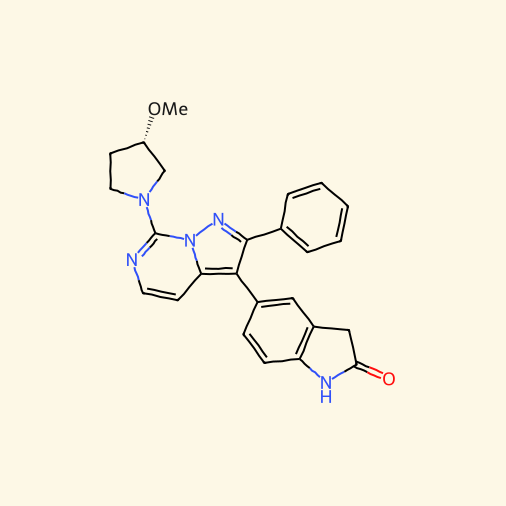 CO[C@H]1CCN(c2nccc3c(-c4ccc5c(c4)CC(=O)N5)c(-c4ccccc4)nn23)C1